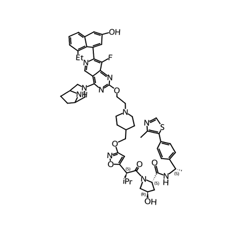 CCc1cccc2cc(O)cc(-c3ncc4c(N5CC6CCC(C5)N6)nc(OCCN5CCC(COc6cc([C@@H](C(=O)N7C[C@H](O)C[C@H]7C(=O)N[C@@H](C)c7ccc(-c8scnc8C)cc7)C(C)C)on6)CC5)nc4c3F)c12